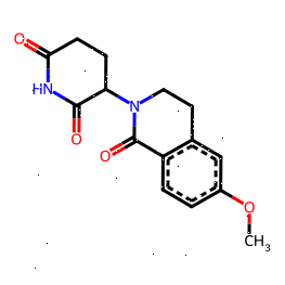 COc1ccc2c(c1)CCN(C1CCC(=O)NC1=O)C2=O